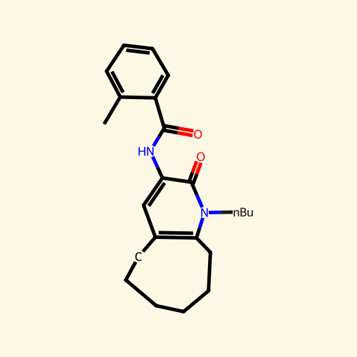 CCCCn1c2c(cc(NC(=O)c3ccccc3C)c1=O)CCCCCC2